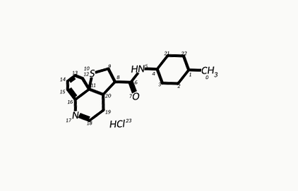 CC1CCC(NC(=O)C2CSC34CC=CC=C3N=CCC24)CC1.Cl